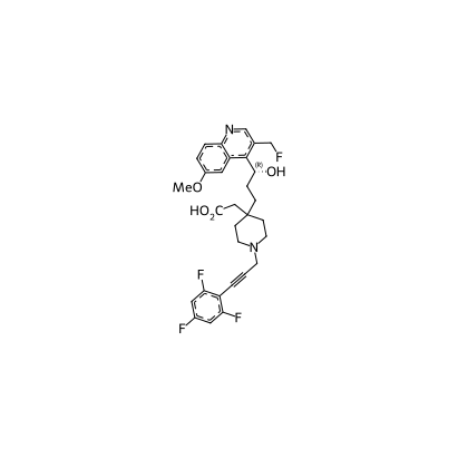 COc1ccc2ncc(CF)c([C@H](O)CCC3(CC(=O)O)CCN(CC#Cc4c(F)cc(F)cc4F)CC3)c2c1